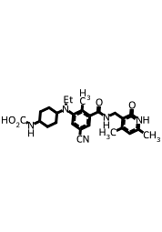 CCN(c1cc(C#N)cc(C(=O)NCc2c(C)cc(C)[nH]c2=O)c1C)C1CCC(NC(=O)O)CC1